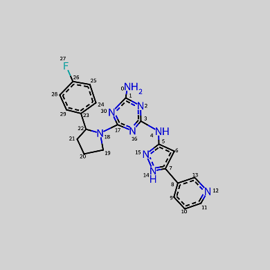 Nc1nc(Nc2cc(-c3cccnc3)[nH]n2)nc(N2CCCC2c2ccc(F)cc2)n1